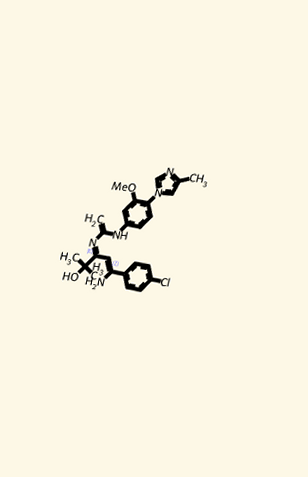 C=C(/N=C(\C=C(/N)c1ccc(Cl)cc1)C(C)(C)O)Nc1ccc(-n2cnc(C)c2)c(OC)c1